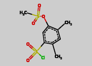 Cc1cc(C)c(S(=O)(=O)Cl)cc1OS(C)(=O)=O